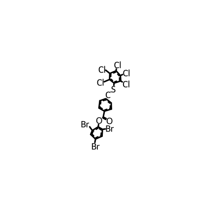 O=C(Oc1c(Br)cc(Br)cc1Br)c1ccc(CSc2c(Cl)c(Cl)c(Cl)c(Cl)c2Cl)cc1